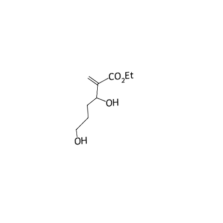 C=C(C(=O)OCC)C(O)CCCO